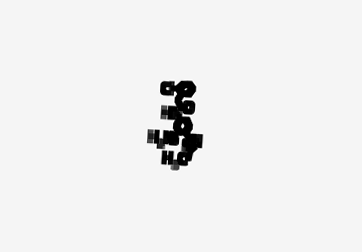 CCc1cnc(-c2ccc(NC(=O)Cc3ccccc3Cl)cc2SN)s1